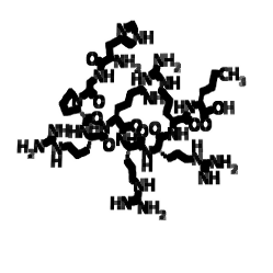 CCCC[C@H](NC(=O)[C@H](CCCNC(=N)N)NC(=O)[C@H](CCCNC(=N)N)NC(=O)[C@H](CCCNC(=N)N)NC(=O)[C@H](CCCCN)NC(=O)[C@H](CCCNC(=N)N)NC(=O)[C@@H]1CCCN1C(=O)CNC(=O)[C@@H](N)Cc1c[nH]cn1)C(=O)O